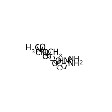 CC(C(=O)OCC(=O)N(C)C)c1ccc(OC(=O)C2CCCc3ccc(NC(=N)N)cc32)cc1